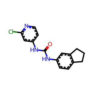 O=C(Nc1ccnc(Cl)c1)Nc1ccc2c(c1)CCC2